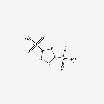 CS(=O)(=O)C1CCN(S(N)(=O)=O)C1